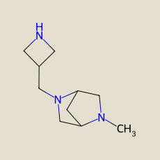 CN1CC2CC1CN2CC1CNC1